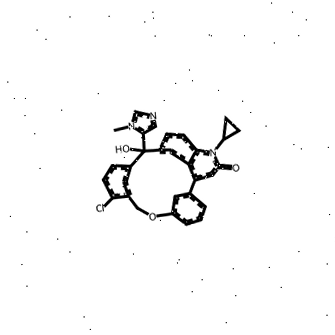 Cn1cncc1C1(O)c2ccc(Cl)c(c2)COc2cccc(c2)-c2cc(=O)n(C3CC3)c3ccc1cc23